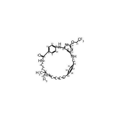 CC1(C)CCNC(=O)c2ccc(cc2)Nc2cc(nc(OCC(F)(F)F)n2)NCc2ccc(cc2)OCCCN1